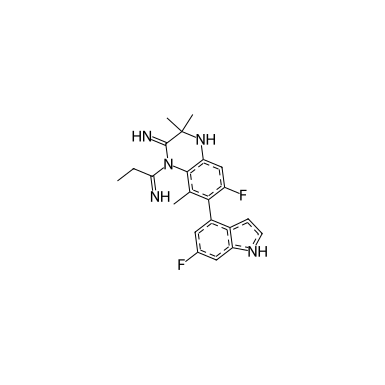 CCC(=N)N1C(=N)C(C)(C)Nc2cc(F)c(-c3cc(F)cc4[nH]ccc34)c(C)c21